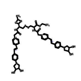 CCOC(=O)C(CSSCC(NC(=O)C[n+]1ccc(/C=C/c2ccc(N3CC(O)C(O)C3)cc2)cc1)C1OC(C)O1)NC(=O)C[n+]1ccc(/C=C/c2ccc(N3CC(O)C(O)C3)cc2)cc1